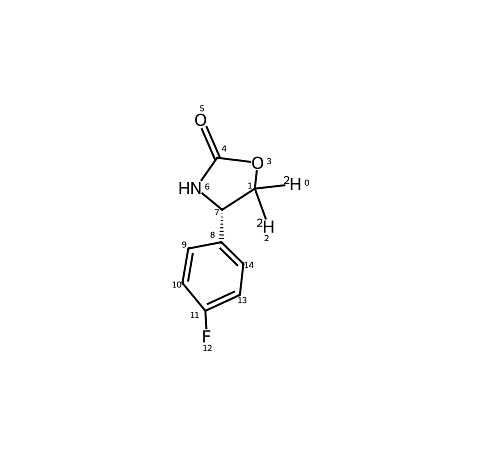 [2H]C1([2H])OC(=O)N[C@H]1c1ccc(F)cc1